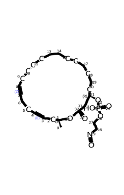 C[C@H]1C/C=C/CC/C=C\CCCCCCCCCCCC[C@@H](OP(=O)(O)OCCN=O)CC(=O)O1